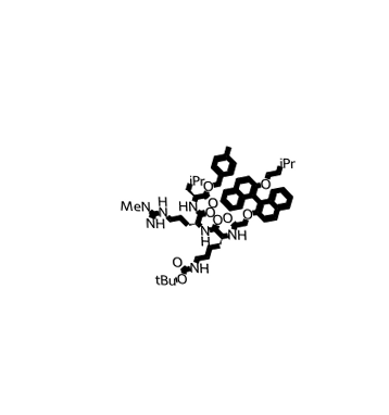 CNC(=N)NCCC[C@@H](NC(=O)[C@@H](CCCCNC(=O)OC(C)(C)C)NC(=O)COc1ccc2ccccc2c1-c1c(OCCC(C)C)ccc2ccccc12)C(=O)N[C@@H](CC(C)C)C(=O)OCc1ccc(C)cc1